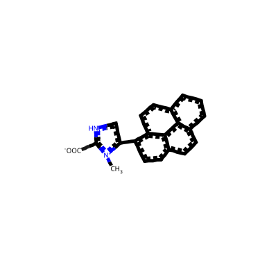 C[n+]1c(-c2ccc3ccc4cccc5ccc2c3c45)c[nH]c1C(=O)[O-]